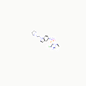 O=S(=O)(Nc1ccc2c(ccn2CCN2CCCC2)c1)c1c(Cl)nc2sccn12